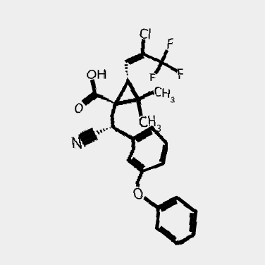 CC1(C)[C@@H](/C=C(/Cl)C(F)(F)F)[C@@]1(C(=O)O)[C@@H](C#N)c1cccc(Oc2ccccc2)c1